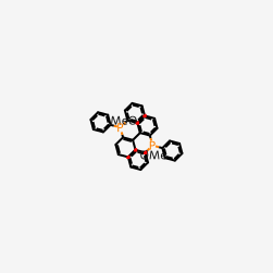 COc1cccc(P(c2ccccc2)c2ccccc2)c1C1=C(P(c2ccccc2)c2ccccc2)C=CCC1OC